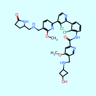 COc1cc(C(=O)Nc2cccc(-c3nccc(-c4ccc(CNCC5CCC(=O)N5)c(OC)n4)c3Cl)c2Cl)ncc1CNC1CC(O)C1